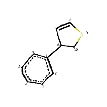 [c]1ccccc1C1C=CSC1